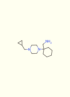 NCC1(N2CCN(CC3CC3)CC2)CCCCC1